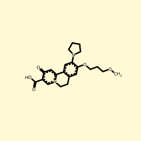 COCCCOc1cc2c(cc1N1CCCC1)-c1cc(=O)c(C(=O)O)cn1CC2